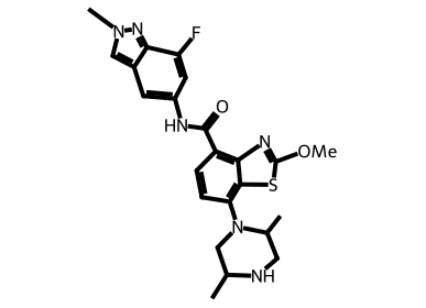 COc1nc2c(C(=O)Nc3cc(F)c4nn(C)cc4c3)ccc(N3CC(C)NCC3C)c2s1